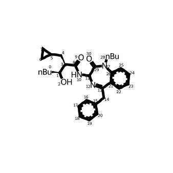 CCCC[C@H](O)[C@@H](CC1CC1)C(=O)NC1N=C(Cc2ccccc2)c2ccccc2N(CCCC)C1=O